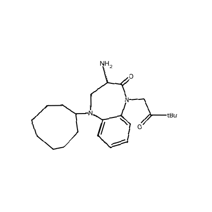 CC(C)(C)C(=O)CN1C(=O)C(N)CN(C2CCCCCCC2)c2ccccc21